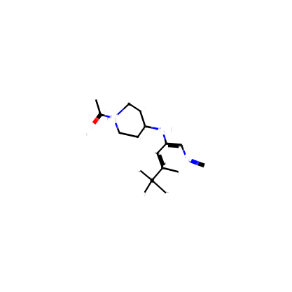 C=N/C=C(\C=C(/C)C(C)(C)C)NC1CCN(C(C)=O)CC1